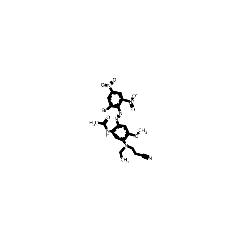 CCN(CCC#N)c1cc(NC(C)=O)c(N=Nc2c(Br)cc([N+](=O)[O-])cc2[N+](=O)[O-])cc1OC